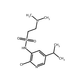 CC(C)c1cnc(Cl)c(NS(=O)(=O)CCN(C)C)c1